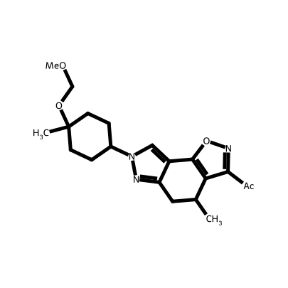 COCOC1(C)CCC(n2cc3c(n2)CC(C)c2c(C(C)=O)noc2-3)CC1